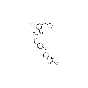 O=C(Nc1cc(CN2CC[C@H](F)C2)cc(C(F)(F)F)c1)C1CCc2ccc(Oc3ccnc(NC(=O)C4CC4)c3)cc2C1